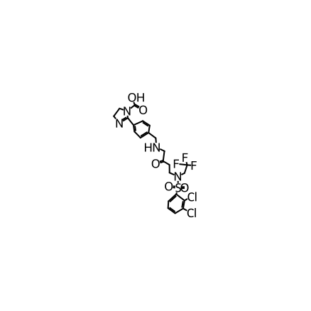 O=C(CCN(CC(F)(F)F)S(=O)(=O)c1cccc(Cl)c1Cl)CNCc1ccc(C2=NCCN2C(=O)O)cc1